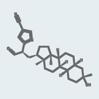 C[C@@]1(O)CC[C@H]2[C@H](CC[C@@H]3[C@@H]2CC[C@@]2(C)[C@H](C[C@H](C=O)n4cc(C#N)cn4)CC[C@@H]32)C1